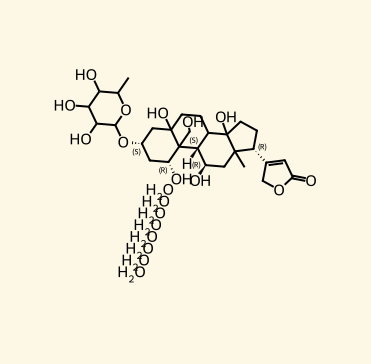 CC1OC(O[C@H]2C[C@@H](O)C3(CO)[C@@H]4C(CCC3(O)C2)C2(O)CC[C@H](C3=CC(=O)OC3)C2(C)C[C@H]4O)C(O)C(O)C1O.O.O.O.O.O.O.O.O